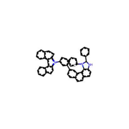 c1ccc(C2Nc3ccc4ccc5ccc(-c6cccc(-n7c8ccc9ccccc9c8c8c9ccccc9ccc87)c6)cc5c4c3N2c2ccccc2)cc1